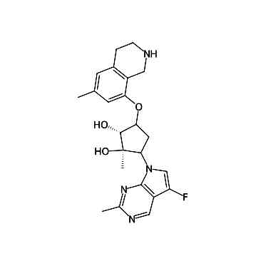 Cc1cc2c(c(OC3CC(n4cc(F)c5cnc(C)nc54)[C@@](C)(O)[C@@H]3O)c1)CNCC2